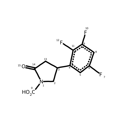 O=C(O)N1CC(c2cc(F)cc(F)c2F)CC1=O